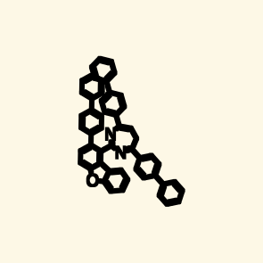 C1=C(c2ccc(-c3ccccc3)cc2)N=C(c2c(-c3ccc(-c4ccccc4)cc3)ccc3oc4ccccc4c23)N=C(c2ccc(-c3ccccc3)cc2)C1